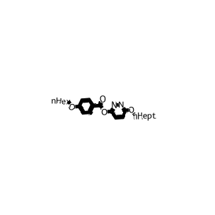 CCCCCCCOc1ccc(OC(=O)c2ccc(OCCCCCC)cc2)nn1